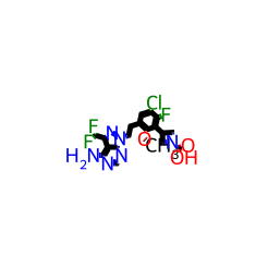 COc1c(CCn2nc(C(F)F)c3c(N)ncnc32)cc(Cl)c(F)c1C1CN(C(=O)O)C1